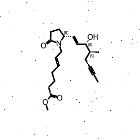 CC#CC[C@H](C)[C@@H](O)C=C[C@H]1CCC(=O)N1CC=CCCCC(=O)OC